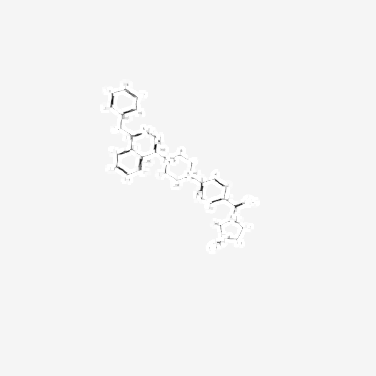 O=C(c1ccc(N2CCN(c3nnc(Cc4ccccc4)c4ccccc34)CC2)nc1)N1CC[S+]([O-])C1